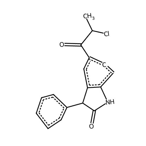 CC(Cl)C(=O)c1ccc2c(c1)C(c1ccccc1)C(=O)N2